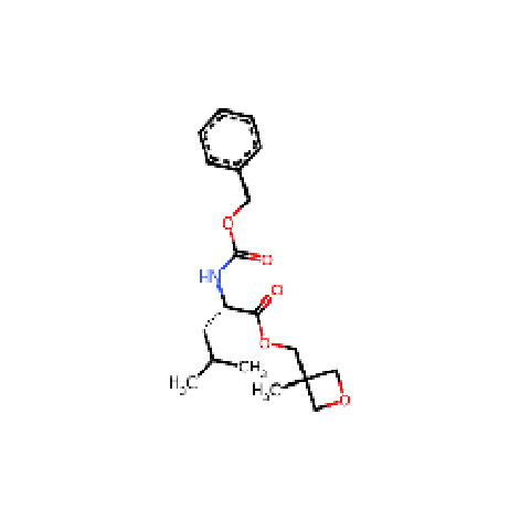 CC(C)C[C@H](NC(=O)OCc1ccccc1)C(=O)OCC1(C)COC1